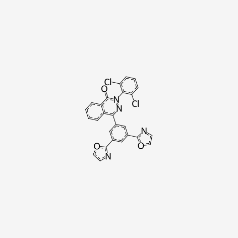 O=c1c2ccccc2c(-c2cc(-c3ncco3)cc(-c3ncco3)c2)nn1-c1c(Cl)cccc1Cl